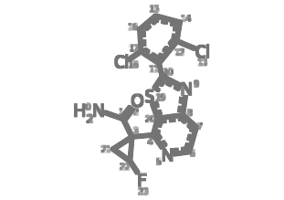 NC(=O)C1(c2nccc3nc(-c4c(Cl)cccc4Cl)sc23)CC1F